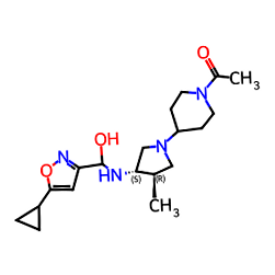 CC(=O)N1CCC(N2C[C@@H](C)[C@H](NC(O)c3cc(C4CC4)on3)C2)CC1